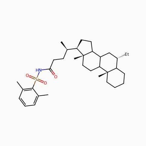 CC[C@H]1CC2C(CC[C@@]3(C)C2CC[C@@H]3[C@H](C)CCC(=O)NS(=O)(=O)c2c(C)cccc2C)[C@@]2(C)CCCCC12